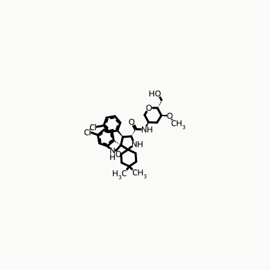 CO[C@H]1C[C@@H](NC(=O)[C@@H]2NC3(CCC(C)(C)CC3)[C@@]3(C(=O)Nc4cc(Cl)ccc43)[C@H]2c2cccc(Cl)c2)CO[C@@H]1CO